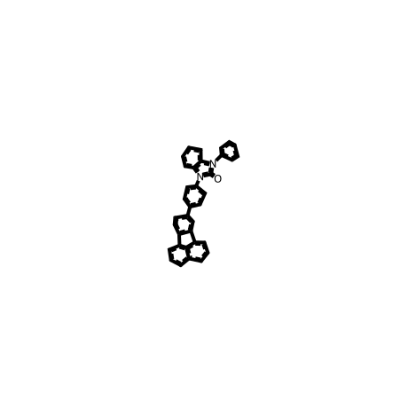 O=c1n(-c2ccccc2)c2ccccc2n1-c1ccc(-c2ccc3c(c2)-c2cccc4cccc-3c24)cc1